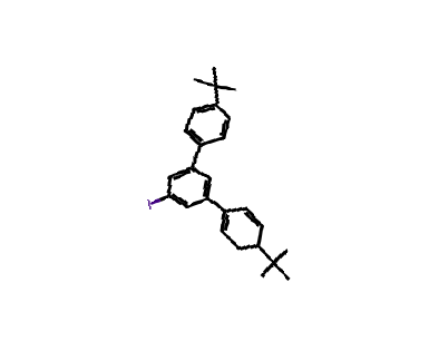 CC(C)(C)c1ccc(-c2cc(I)cc(C3=CCC(C(C)(C)C)C=C3)c2)cc1